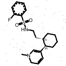 CN1C=C([C@@H]2CCCC[C@H]2CCNS(=O)(=O)c2ccccc2F)C=CC1